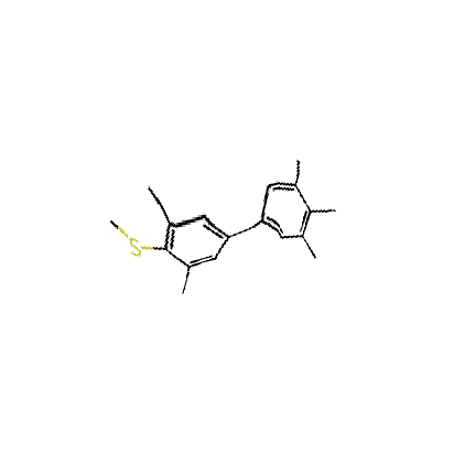 CSc1c(C)cc(-c2cc(C)c(C)c(C)c2)cc1C